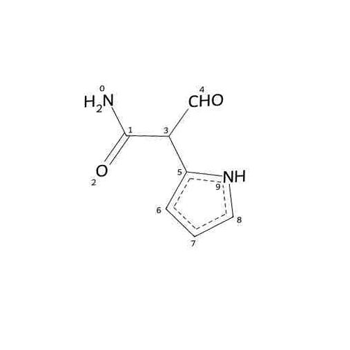 NC(=O)C(C=O)c1ccc[nH]1